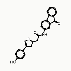 O=C(CC1CC(c2ccc(O)cc2)=NO1)Nc1ccc2c(c1)C(=O)c1ccccc1-2